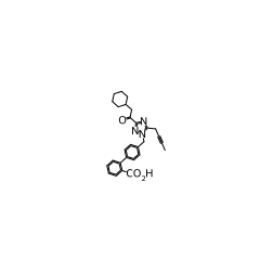 CC#CCc1nc(C(=O)CC2CCCCC2)nn1Cc1ccc(-c2ccccc2C(=O)O)cc1